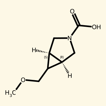 COCC1[C@H]2CN(C(=O)O)C[C@@H]12